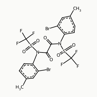 Cc1ccc(N(C(=O)C(=O)N(c2ccc(C)cc2Br)S(=O)(=O)C(F)(F)F)S(=O)(=O)C(F)(F)F)c(Br)c1